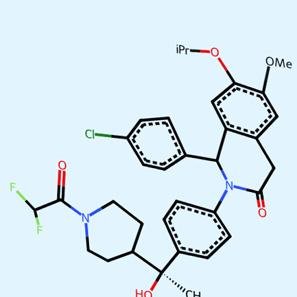 COc1cc2c(cc1OC(C)C)C(c1ccc(Cl)cc1)N(c1ccc([C@@](C)(O)C3CCN(C(=O)C(F)F)CC3)cc1)C(=O)C2